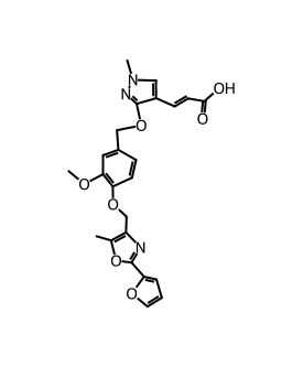 COc1cc(COc2nn(C)cc2C=CC(=O)O)ccc1OCc1nc(-c2ccco2)oc1C